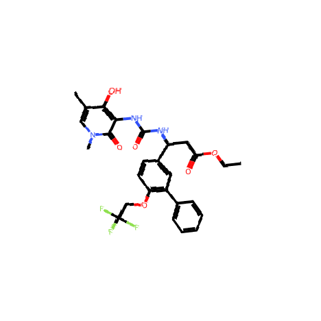 CCOC(=O)CC(NC(=O)Nc1c(O)c(C)cn(C)c1=O)c1ccc(OCC(F)(F)F)c(-c2ccccc2)c1